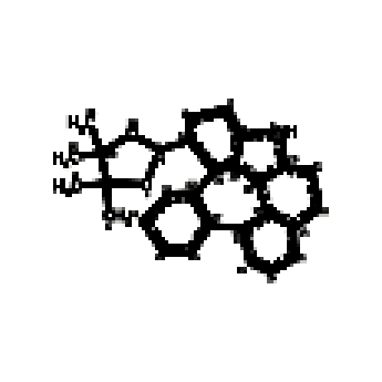 CC1(C)OB(c2ccc3[nH]c4ccc5cccc6c5c4c3c2-c2ccccc2-6)OC1(C)C